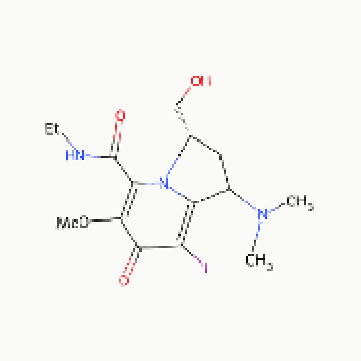 CCNC(=O)c1c(OC)c(=O)c(I)c2n1[C@H](CO)CC2N(C)C